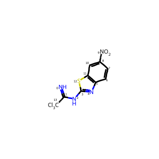 N=C(Nc1nc2ccc([N+](=O)[O-])cc2s1)C(Cl)(Cl)Cl